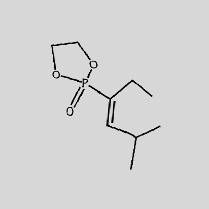 CC/C(=C\C(C)C)P1(=O)OCCO1